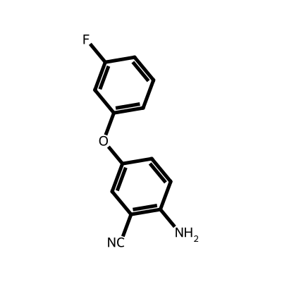 N#Cc1cc(Oc2cccc(F)c2)ccc1N